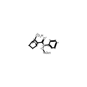 CCCCCCCCON(C(=O)C1C2CCC(O2)C1C(=O)O)c1ccccc1